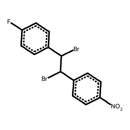 O=[N+]([O-])c1ccc(C(Br)C(Br)c2ccc(F)cc2)cc1